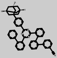 N#Cc1cccc(-c2ccccc2-c2ccccc2-c2nc(-c3ccc(C45C[C@H]6C[C@@H](C4)C[C@@H](C5)C6)cc3)nc(-c3ccccc3-c3ccccc3)n2)c1